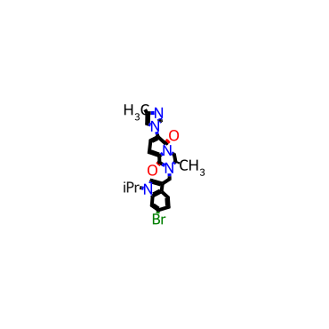 Cc1cn(-c2ccc3n(c2=O)C[C@@H](C)N(Cc2cn(C(C)C)c4cc(Br)ccc24)C3=O)cn1